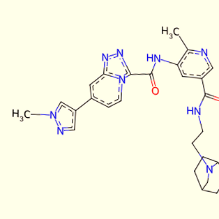 Cc1ncc(C(=O)NCCN2CC3CCC2CC3)cc1NC(=O)c1nnc2cc(-c3cnn(C)c3)ccn12